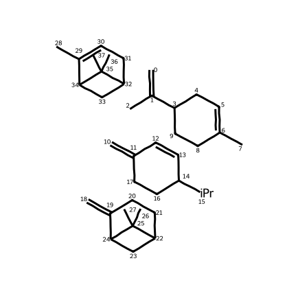 C=C(C)C1CC=C(C)CC1.C=C1C=CC(C(C)C)CC1.C=C1CCC2CC1C2(C)C.CC1=CCC2CC1C2(C)C